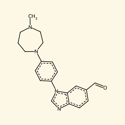 CN1CCCN(c2ccc(-n3cnc4ccc(C=O)cc43)cc2)CC1